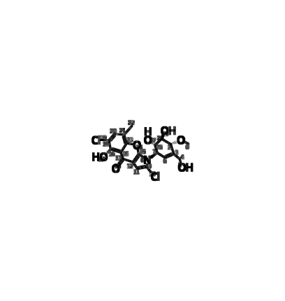 CO[C@@H]1C(CO)=C[C@@H](n2c(Cl)cc3c(=O)c4c(O)c(Cl)cc(C)c4oc32)[C@H](O)[C@H]1O